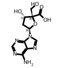 Nc1ncnc2c1ncn2[C@H]1C[C@H](O)[C@](CO)(C(=O)O)O1